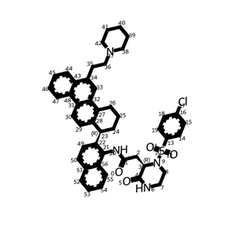 O=C(C[C@@H]1C(=O)NCCN1S(=O)(=O)c1ccc(Cl)cc1)Nc1c([C@@H]2CCCc3c2ccc2c3cc(CCN3CCCCC3)c3ccccc32)ccc2ccccc12